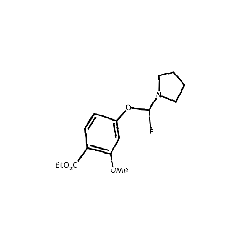 CCOC(=O)c1ccc(OC(F)N2CCCC2)cc1OC